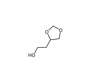 OCCC1COCO1